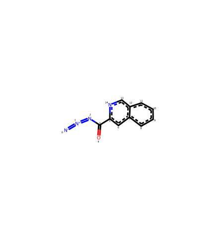 [N-]=[N+]=NC(=O)c1cc2ccccc2cn1